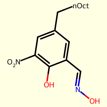 CCCCCCCCCc1cc(C=NO)c(O)c([N+](=O)[O-])c1